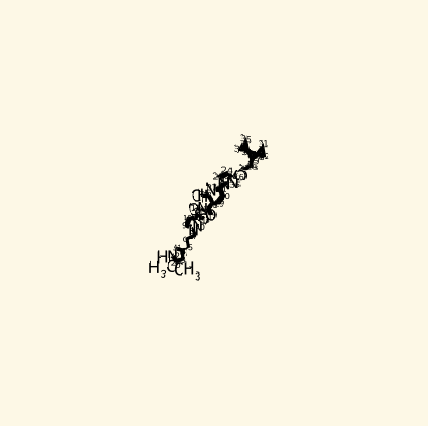 CC1(C)C[C@H](CCCn2ccc(S(=O)(=O)NC(=O)c3ccc(-n4ccc(OCCC5C6(CC6)C56CC6)n4)nc3Cl)n2)CN1